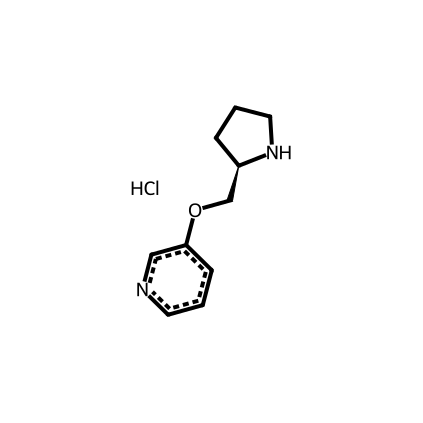 Cl.c1cncc(OC[C@H]2CCCN2)c1